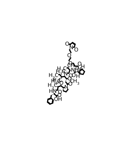 CC[C@H](C)[C@@H]([C@@H](CC(=O)N1CCC[C@H]1[C@H](OC)[C@@H](C)C(=O)N[C@@H](Cc1ccccc1)C(=O)O)OC)N(C)C(=O)[C@@H](NC(=O)[C@@H]1[C@H]2CC[C@H](C2)N1C(=O)CCOCCOCCN1C(=O)C=CC1=O)C(C)C